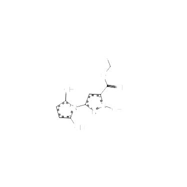 C=C(OCC)c1cc(-n2c(C)ccc2C)nn1C